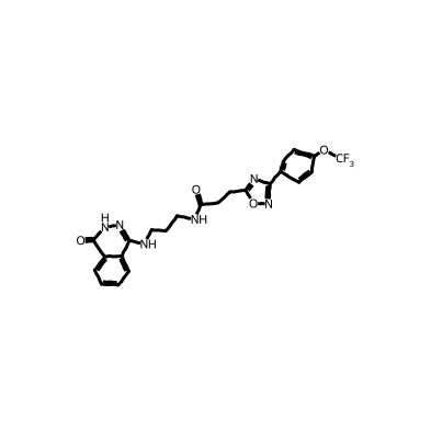 O=C(CCc1nc(-c2ccc(OC(F)(F)F)cc2)no1)NCCCNc1n[nH]c(=O)c2ccccc12